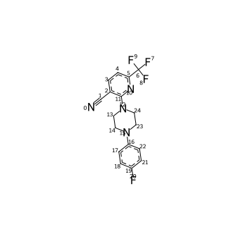 N#Cc1ccc(C(F)(F)F)nc1N1CCN(c2ccc(F)cc2)CC1